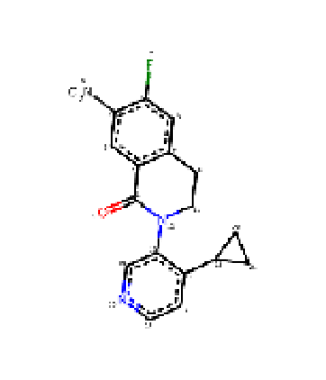 O=C1c2cc([N+](=O)[O-])c(F)cc2CCN1c1cnccc1C1CC1